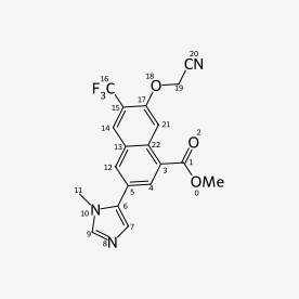 COC(=O)c1cc(-c2cncn2C)cc2cc(C(F)(F)F)c(OCC#N)cc12